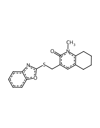 Cn1c2c(cc(CSc3nc4ccccc4o3)c1=O)CCCC2